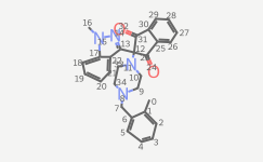 Cc1ccccc1CN1CCN(C2(c3nn(C)c4ccccc34)C(=O)c3ccccc3C2=O)CC1